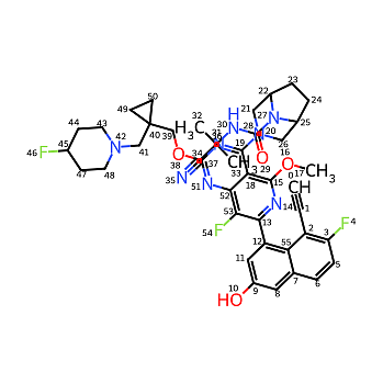 C#Cc1c(F)ccc2cc(O)cc(-c3nc(OC)c4c(N5CC6CCC(C5)N6C(=O)NC(C)(C)C#N)nc(OCC5(CN6CCC(F)CC6)CC5)nc4c3F)c12